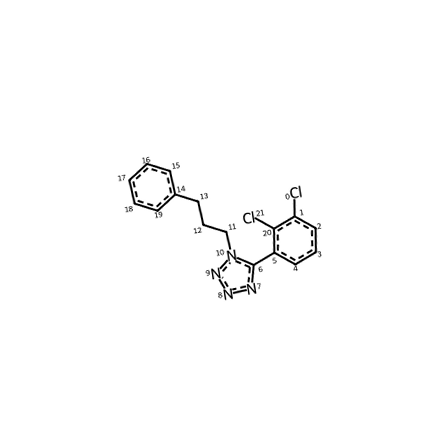 Clc1cccc(-c2nnnn2CCCc2ccccc2)c1Cl